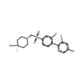 C[C@]1(O)CC[C@@H](CS(=O)(=O)c2ccc(-c3ncc(F)cc3F)c(F)c2)CC1